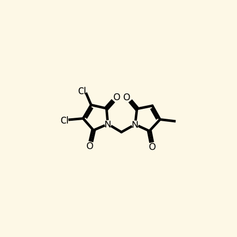 CC1=CC(=O)N(CN2C(=O)C(Cl)=C(Cl)C2=O)C1=O